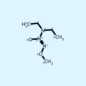 CCN(CC)[N+]([O-])=NOC